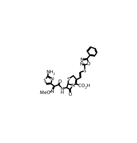 CON=C(C(=O)NC1C(=O)N2C(C(=O)O)=C(C=CSc3nnc(-c4ccccc4)o3)CSC12)c1csc(N)n1